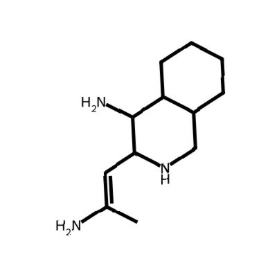 C/C(N)=C\C1NCC2CCCCC2C1N